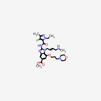 CCn1nc(C)c(F)c1C(=O)Nc1nc2cc(C(=O)OC)cc(OCCCN3CCOCC3)c2n1C/C=C/CNC